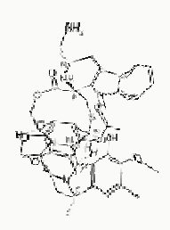 COc1c(C)cc2c(c1O)[C@@H]1[C@@H]3[C@@H]4SC[C@]5(N[C@H](CN)Cc6c5[nH]c5ccccc65)C(=O)OC[C@@H](c5c6c(c(C)c(OC(C)=O)c54)OCO6)N3C3(C)CN1[C@]2(C)C3